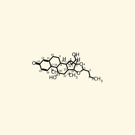 CCCC1O[C@H]2CC3[C@@H]4CCC5=CC(=O)C=C[C@]5(C)C4[C@@H](O)C[C@]3(C)[C@]2(C(=O)CO)O1